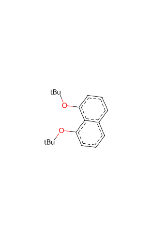 CC(C)(C)Oc1cccc2cccc(OC(C)(C)C)c12